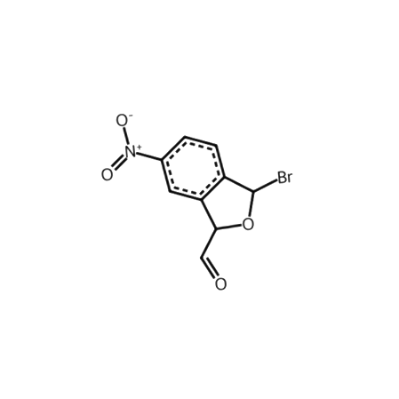 O=CC1OC(Br)c2ccc([N+](=O)[O-])cc21